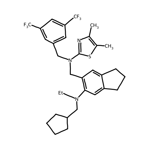 CCN(CC1CCCC1)c1cc2c(cc1CN(Cc1cc(C(F)(F)F)cc(C(F)(F)F)c1)c1nc(C)c(C)s1)CCC2